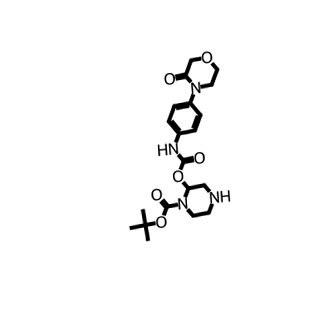 CC(C)(C)OC(=O)N1CCNCC1OC(=O)Nc1ccc(N2CCOCC2=O)cc1